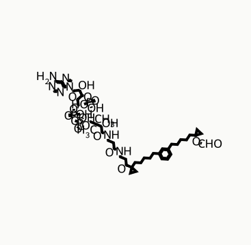 CC(C)(COP(=O)(O)OP(=O)(O)OCC1OC(n2cnc3c(N)ncnc32)C(O)C1OP(=O)(O)O)C(O)C(=O)NCCC(=O)NCCC(=O)C1(CCCCCc2cccc(CCCCCC3(OC=O)CC3)c2)CC1